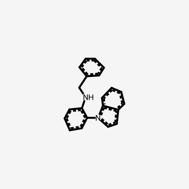 c1ccc(CNc2ccccc2-n2ccc3ccccc32)cc1